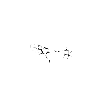 CCCc1c(OCCCN2C(=O)N(C)C(C)(C)C2=O)ccc2c1COC2(C(F)(F)F)C(F)(F)F